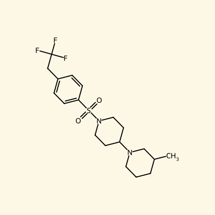 CC1CCCN(C2CCN(S(=O)(=O)c3ccc(CC(F)(F)F)cc3)CC2)C1